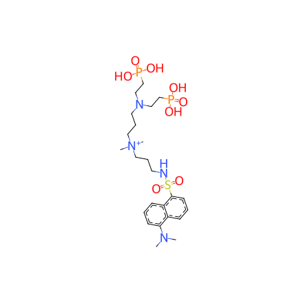 CN(C)c1cccc2c(S(=O)(=O)NCCC[N+](C)(C)CCCN(CCP(=O)(O)O)CCP(=O)(O)O)cccc12